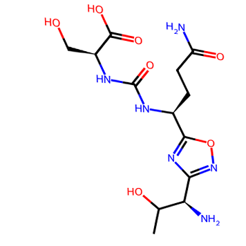 CC(O)[C@H](N)c1noc([C@H](CCC(N)=O)NC(=O)N[C@@H](CO)C(=O)O)n1